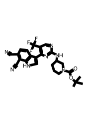 CC(C)(C)OC(=O)N1CCCC(Nc2ncc(C(F)(F)F)c(-c3c[nH]c4c(C#N)c(C#N)ccc34)n2)C1